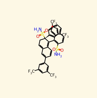 NS(=O)(=O)c1ccc2ccccc2c1C1=c2ccc(-c3cc(C(F)(F)F)cc(C(F)(F)F)c3)cc2=CC[C@]1(c1cc(C(F)(F)F)cc(C(F)(F)F)c1)S(N)(=O)=O